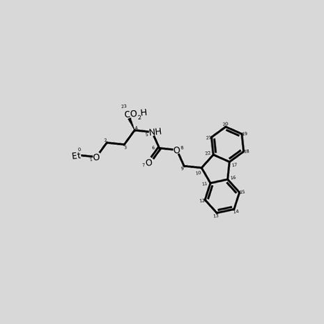 CCOCC[C@H](NC(=O)OCC1c2ccccc2-c2ccccc21)C(=O)O